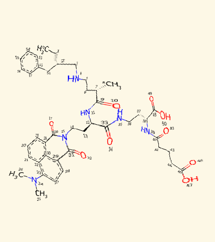 CC[C@H](CNCC[C@H](C)C(=O)N[C@H](CCN1C(=O)c2cccc3c(N(C)C)ccc(c23)C1=O)C(=O)NCC[C@@H](NC(=O)CCCC(=O)O)C(=O)O)Cc1ccccc1